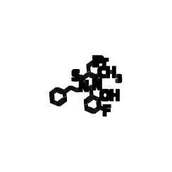 Cc1nc(-c2cccc(F)c2O)n(CCc2ccccc2)c(=S)c1CC(C)C